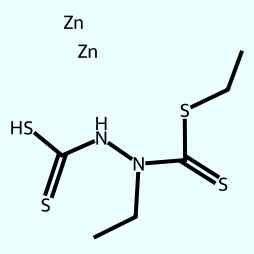 CCSC(=S)N(CC)NC(=S)S.[Zn].[Zn]